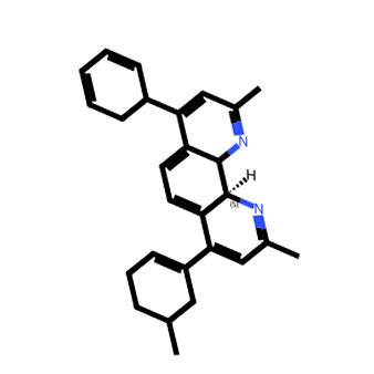 CC1=NC2C(=CC=C3C(C4=CCCC(C)C4)=CC(C)=N[C@@H]32)C(C2C=CC=CC2)=C1